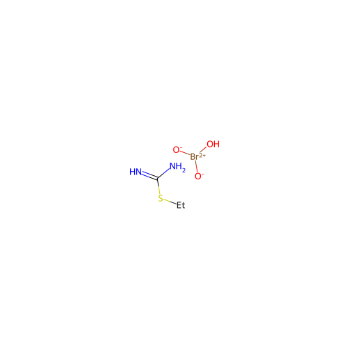 CCSC(=N)N.[O-][Br+2]([O-])O